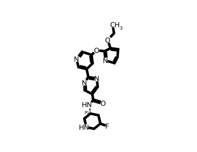 CCOc1cccnc1Oc1cncc(-c2ncc(C(=O)N[C@H]3CNCC(F)C3)cn2)c1